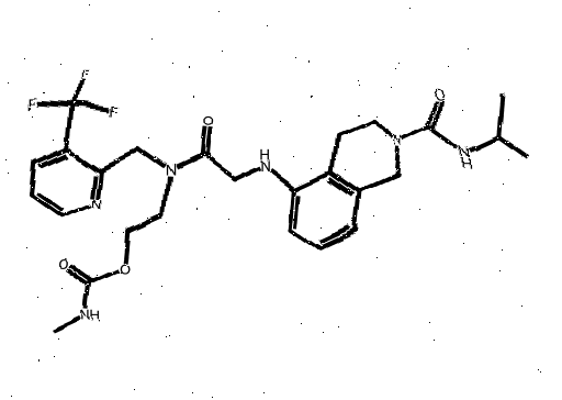 CNC(=O)OCCN(Cc1ncccc1C(F)(F)F)C(=O)CNc1cccc2c1CCN(C(=O)NC(C)C)C2